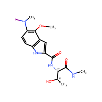 CNC(=O)[C@@H](NC(=O)c1cc2c(OC)c(N(C)I)ccc2[nH]1)[C@@H](C)O